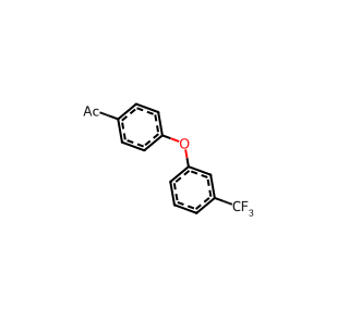 CC(=O)c1ccc(Oc2cccc(C(F)(F)F)c2)cc1